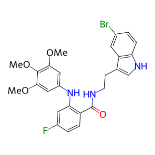 COc1cc(Nc2cc(F)ccc2C(=O)NCCc2c[nH]c3ccc(Br)cc23)cc(OC)c1OC